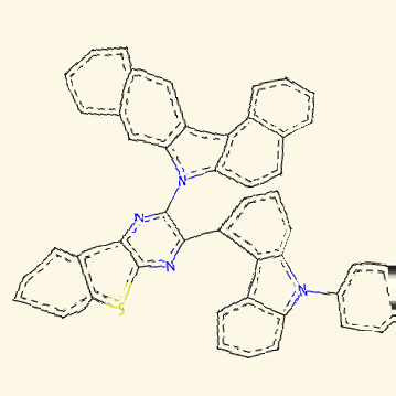 c1ccc(-n2c3ccccc3c3c(-c4nc5sc6ccccc6c5nc4-n4c5cc6ccccc6cc5c5c6ccccc6ccc54)cccc32)cc1